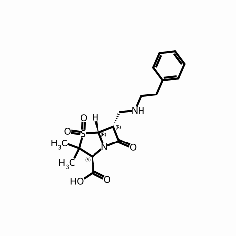 CC1(C)[C@H](C(=O)O)N2C(=O)[C@@H](CNCCc3ccccc3)[C@H]2S1(=O)=O